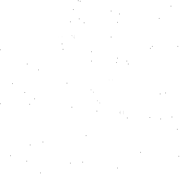 O=C(N/N=C/c1ccc(Cl)cc1O)c1ccc([N+](=O)[O-])cc1